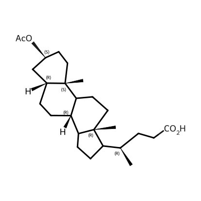 CC(=O)O[C@H]1CC[C@]2(C)C3CC[C@@]4(C)C(CCC4[C@H](C)CCC(=O)O)[C@@H]3CC[C@@H]2C1